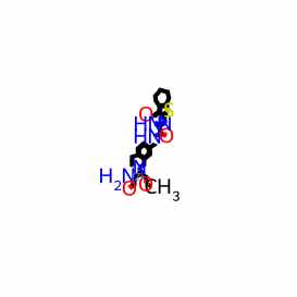 COC/C(=C(/N)C=O)N1CCc2ccc(CNC(=O)c3nc4sc5c(c4c(=O)[nH]3)CCCCC5)cc2C1